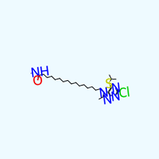 CNC(=O)CCCCCCCCCCCCCCCn1c(C)nc2nc(Cl)nc(SC(C)C)c21